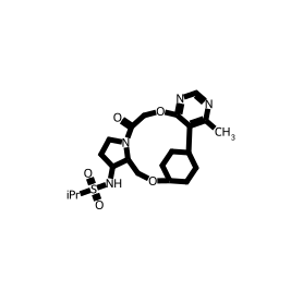 Cc1ncnc2c1C1CCC(CC1)OCC1C(NS(=O)(=O)C(C)C)CCN1C(=O)CO2